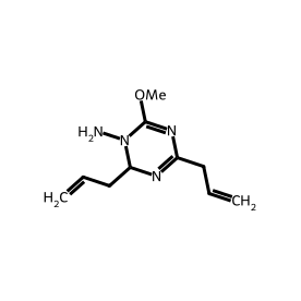 C=CCC1=NC(CC=C)N(N)C(OC)=N1